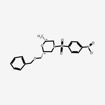 C[C@@H]1CN(S(=O)(=O)c2ccc([N+](=O)[O-])cc2)C[C@H](COCc2ccccc2)O1